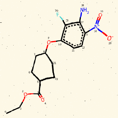 CCOC(=O)C1CCC(Oc2ccc([N+](=O)[O-])c(N)c2F)CC1